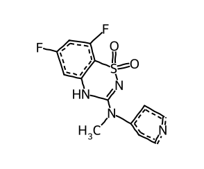 CN(C1=NS(=O)(=O)c2c(F)cc(F)cc2N1)c1ccncc1